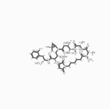 CC[C@H](C)[C@@H]([C@@H](CC(=O)N1C2=C[C@H]2C[C@H]1[C@H](OC)[C@@H](C)C(=O)N[C@@H](Cc1ccccc1F)C(=O)O)OC)N(C)C(=O)[C@@H](NC(=O)[C@H](C(C)C)N(C)C(=O)CCCCCN1C(=O)C=CC1=O)C(C)C